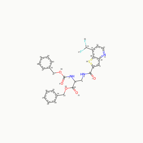 O=C(NC(CNC(=O)c1cc2nccc(C(F)F)c2s1)C(=O)OCc1ccccc1)OCc1ccccc1